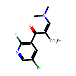 CCOC(=O)/C(=C/N(C)C)C(=O)c1cc(Br)cnc1F